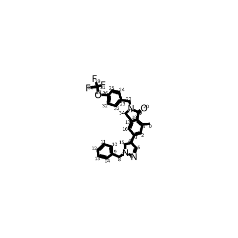 Cc1cc(C2C=NN(Cc3ccccc3)C2)cc2c1C(=O)N(Cc1ccc(OC(F)(F)F)cc1)C2